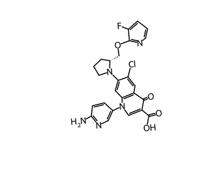 Nc1ccc(-n2cc(C(=O)O)c(=O)c3cc(Cl)c(N4CCC[C@@H]4COc4ncccc4F)cc32)cn1